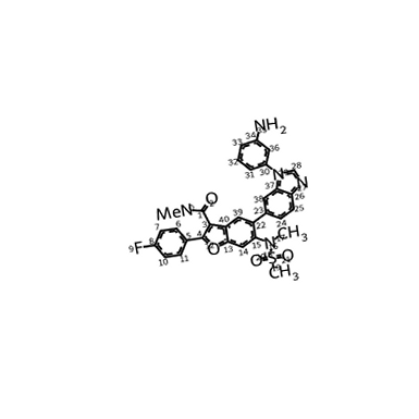 CNC(=O)c1c(-c2ccc(F)cc2)oc2cc(N(C)S(C)(=O)=O)c(-c3ccc4ncn(-c5cccc(N)c5)c4c3)cc12